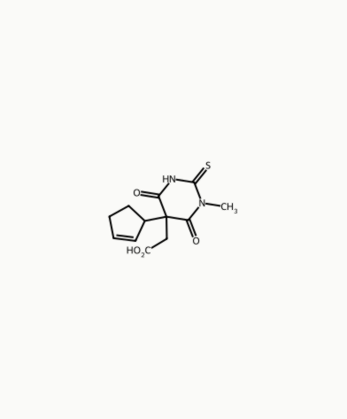 CN1C(=O)C(CC(=O)O)(C2C=CCC2)C(=O)NC1=S